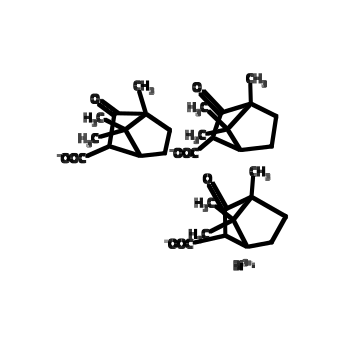 CC12CCC(C(C(=O)[O-])C1=O)C2(C)C.CC12CCC(C(C(=O)[O-])C1=O)C2(C)C.CC12CCC(C(C(=O)[O-])C1=O)C2(C)C.[Bi+3]